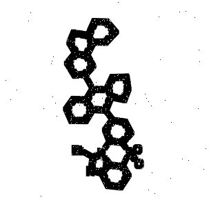 CCc1nc2cccc3c2n1-c1cc(-c2c4ccccc4c(-c4ccc5ccc6ccccc6c5c4)c4ccccc24)ccc1S3(=O)=O